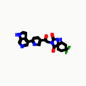 O=C(CN1C(=O)NC2(CCC(F)(F)CC2)C1=O)c1ccc(-c2cncc3[nH]ccc23)nc1